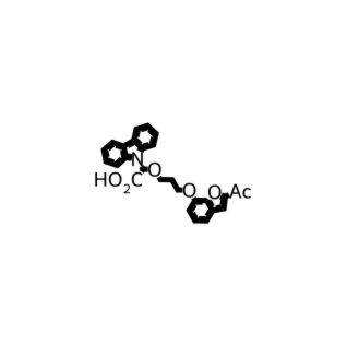 CC(=O)c1cc2cccc(OCCCOC(C(=O)O)n3c4ccccc4c4ccccc43)c2o1